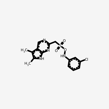 Cc1[nH]c2nc(CS(=O)(=O)ONc3cccc(Cl)c3)ncc2c1C